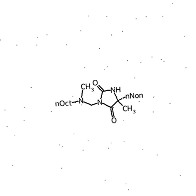 CCCCCCCCCC1(C)NC(=O)N(CN(C)CCCCCCCC)C1=O